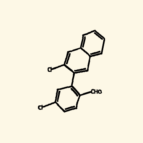 O=Cc1ccc(Cl)cc1-c1cc2ccccc2cc1Cl